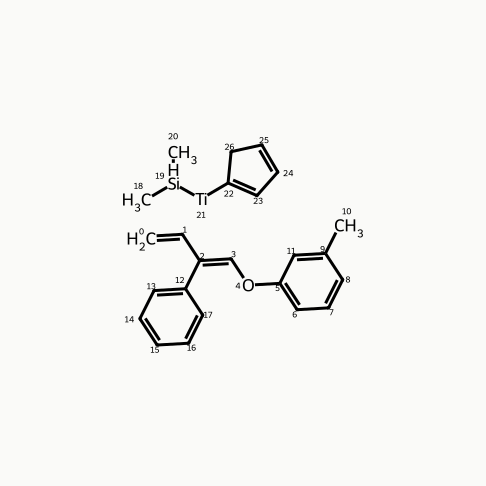 C=CC(=COc1cccc(C)c1)c1ccccc1.C[SiH](C)[Ti][C]1=CC=CC1